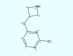 Clc1nccc(OC2CNC2)n1